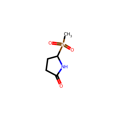 CS(=O)(=O)C1CCC(=O)N1